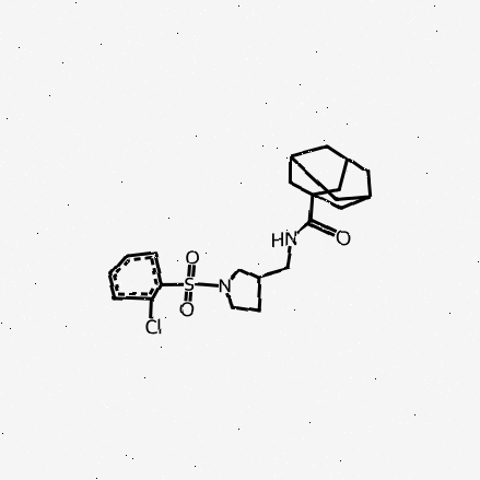 O=C(NCC1CCN(S(=O)(=O)c2ccccc2Cl)C1)C12CC3CC(CC(C3)C1)C2